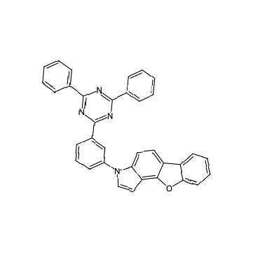 c1ccc(-c2nc(-c3ccccc3)nc(-c3cccc(-n4ccc5c6oc7ccccc7c6ccc54)c3)n2)cc1